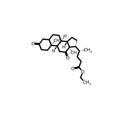 CCOC(=O)CC[C@@H](C)[C@H]1CC[C@H]2[C@@H]3CCC4CC(=O)CC[C@]4(C)[C@H]3CC(=O)[C@]12C